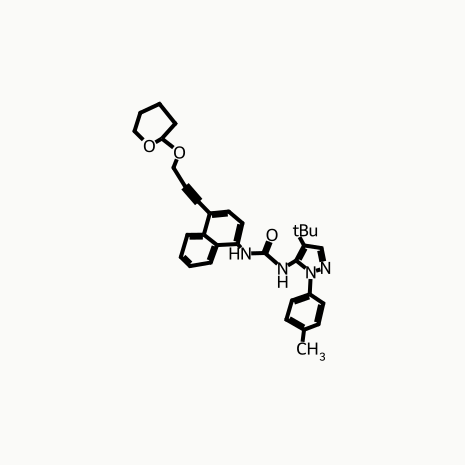 Cc1ccc(-n2ncc(C(C)(C)C)c2NC(=O)Nc2ccc(C#CCOC3CCCCO3)c3ccccc23)cc1